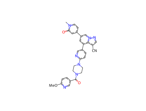 COc1ccc(C(=O)N2CCN(c3ccc(-c4cc(-c5ccn(C)c(=O)c5)cn5ncc(C#N)c45)cn3)CC2)cn1